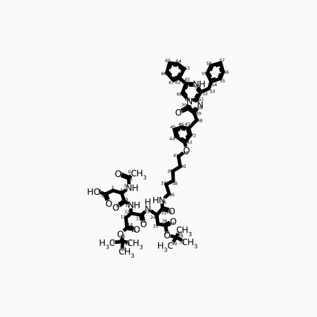 CC(=O)NC(CC(=O)O)C(=O)NC(CC(=O)OC(C)(C)C)C(=O)NC(CC(=O)OC(C)(C)C)C(=O)NCCCCCCOc1cccc(Cc2nc3c(Cc4ccccc4)[nH]c(-c4ccccc4)cn-3c2=O)c1